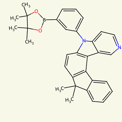 CC1(C)c2ccccc2-c2c1ccc1c2c2cnccc2n1-c1cccc(B2OC(C)(C)C(C)(C)O2)c1